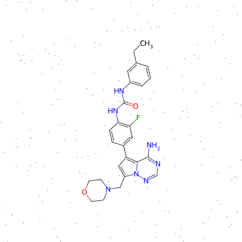 CCc1cccc(NC(=O)Nc2ccc(-c3cc(CN4CCOCC4)n4ncnc(N)c34)cc2F)c1